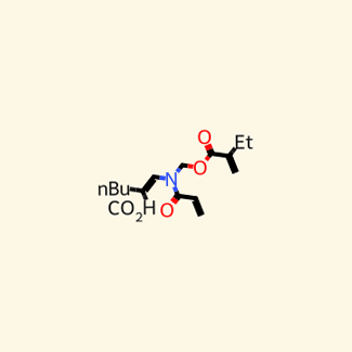 C=CC(=O)N(C=C(CCCC)C(=O)O)COC(=O)C(=C)CC